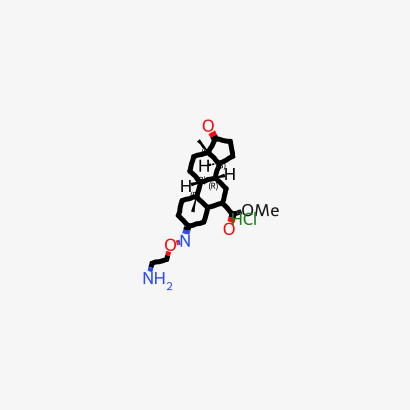 COC(=O)C1C[C@@H]2[C@@H](CC[C@]3(C)C(=O)CC[C@@H]23)[C@@]2(C)CCC(=NOCCN)CC12.Cl